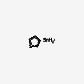 [SnH2].c1ccsc1